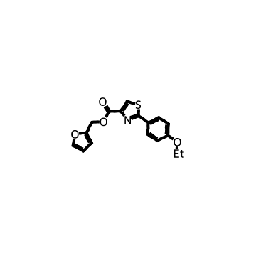 CCOc1ccc(-c2nc(C(=O)OCc3ccco3)cs2)cc1